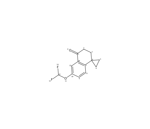 O=C1CCC2(CC2)c2ccc(OC(F)F)cc21